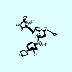 O=C1NC(=O)/C(=C/c2cnn3c(NC4CC4)cc(Nc4ccc(N5CCOCC5)c(Cl)c4)nc23)N1